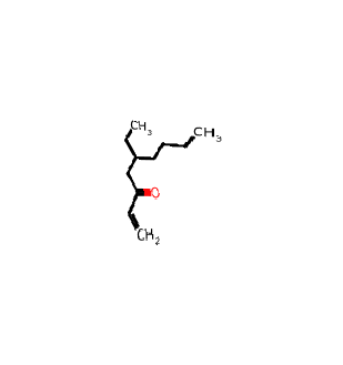 C=CC(=O)CC(CC)CCCC